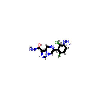 CNC(=O)c1ncn2cc(-c3c(F)ccc(N)c3Cl)ncc12